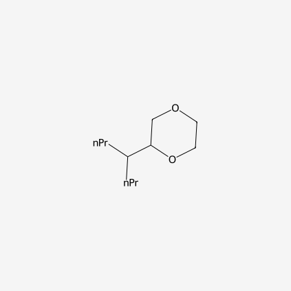 [CH2]CCC(CCC)C1COCCO1